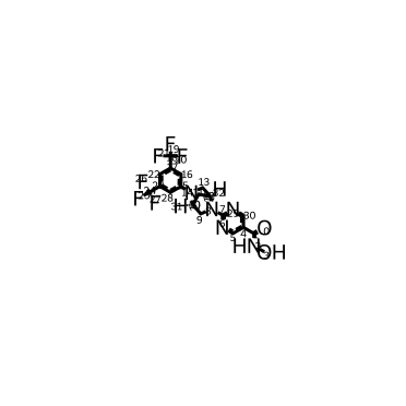 O=C(NO)c1cnc(N2C[C@@H]3C[C@H]2CN3c2cc(C(F)(F)F)cc(C(F)(F)F)c2)nc1